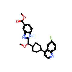 COC(=O)c1ccc2[nH]c([C@H](OC)C3CCC(c4ccnc5ccc(F)cc45)CC3)nc2c1